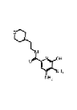 Nc1cc(C(=O)NCCN2CCOCC2)nc(O)c1N